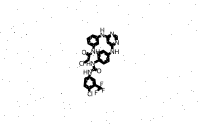 O=C(CCl)Nc1cccc(Nc2cc(Nc3ccc(NC(=O)Nc4ccc(Cl)c(C(F)(F)F)c4)cc3)ncn2)c1